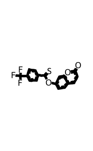 O=c1ccc2ccc(OC(=S)c3ccc(C(F)(F)F)cc3)cc2o1